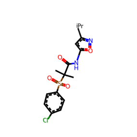 CC(C)c1cc(NC(=O)C(C)(C)S(=O)(=O)c2ccc(Cl)cc2)on1